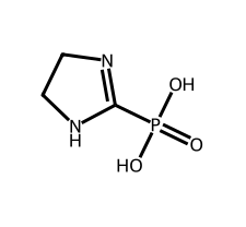 O=P(O)(O)C1=NCCN1